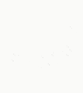 Cn1cc(-c2ccc3cnc(NC(=O)c4cn(C5CCNCC5)nn4)nc3c2)cn1